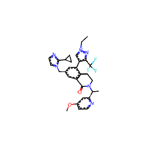 CCn1cc(-c2cc(Cn3ccnc3C3CC3)cc3c2CCN(C(C)c2cc(OC)ccn2)C3=O)c(C(F)(F)F)n1